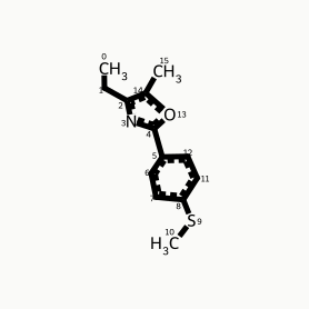 CCc1nc(-c2ccc(SC)cc2)oc1C